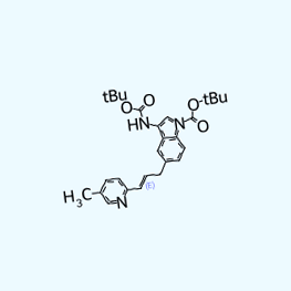 Cc1ccc(/C=C/Cc2ccc3c(c2)c(NC(=O)OC(C)(C)C)cn3C(=O)OC(C)(C)C)nc1